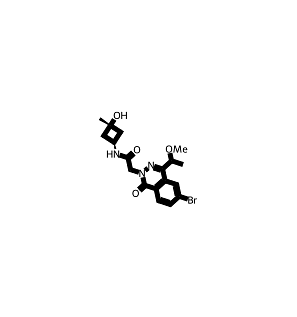 COC(C)c1nn(CC(=O)N[C@H]2C[C@@](C)(O)C2)c(=O)c2ccc(Br)cc12